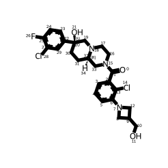 O=C(c1cccc(N2CC(CO)C2)c1Cl)N1CCN2C[C@@](O)(c3ccc(F)c(Cl)c3)CC[C@@H]2C1